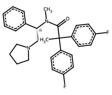 CN(C(=O)C(C)(c1ccc(F)cc1)c1ccc(F)cc1)[C@H](CN1CCCC1)c1ccccc1